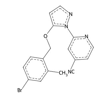 Cc1cc(Br)ccc1COc1ccnn1-c1cc(C#N)ccn1